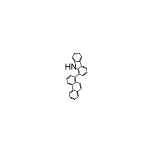 c1ccc2c(c1)ccc1c(-c3cccc4c3[nH]c3ccccc34)cccc12